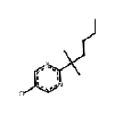 CCCCC(C)(C)c1ncc(Cl)cn1